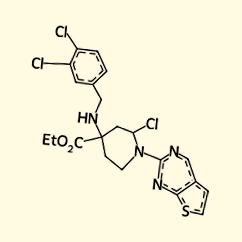 CCOC(=O)C1(NCc2ccc(Cl)c(Cl)c2)CCN(c2ncc3ccsc3n2)C(Cl)C1